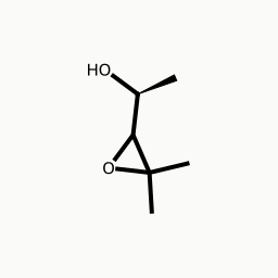 C[C@H](O)C1OC1(C)C